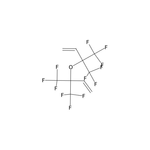 C=CC(OC(C=C)(C(F)(F)F)C(F)(F)F)(C(F)(F)F)C(F)(F)F